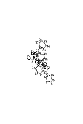 O=[N+]([O-])C1(Br)C(Cc2ccccc2)=CC=CC1OC1C=CC=C(Cc2ccccc2)C1(Br)[N+](=O)[O-]